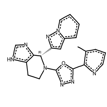 Cc1cccnc1-c1nnc(N2CCc3[nH]cnc3[C@@H]2c2cc3ccccn3n2)o1